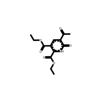 CCOC(=O)c1cc(C(C)=O)c(=O)[nH]c1C(=O)OCC